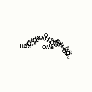 COc1cc(C=CC(=O)OCCOc2ccc(-c3ccc(O)cc3)cc2)ccc1OC(=O)C(C)(C)CCCOc1cc(C)ccc1C